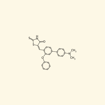 CN(C)c1ccc(-c2ccc(/C=C3/SC(=S)NC3=O)c(Oc3ccccc3)c2)cc1